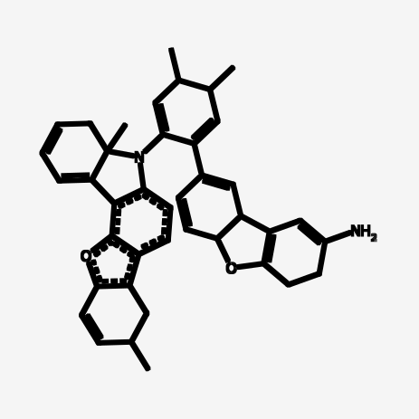 CC1C=Cc2oc3c4c(ccc3c2C1)N(C1=CC(C)C(C)C=C1C1=CC2C3=C(CCC(N)=C3)OC2C=C1)C1(C)CC=CC=C41